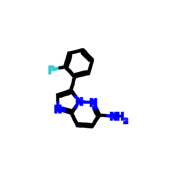 Nc1ccc2ncc(-c3ccccc3F)n2n1